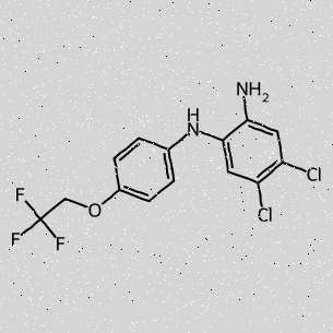 Nc1cc(Cl)c(Cl)cc1Nc1ccc(OCC(F)(F)F)cc1